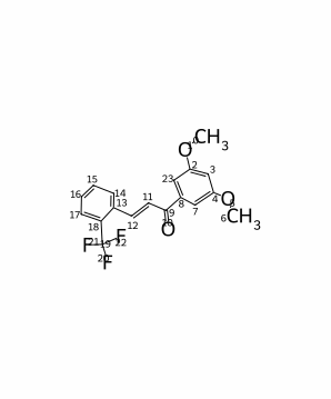 COc1cc(OC)cc(C(=O)/C=C/c2ccccc2C(F)(F)F)c1